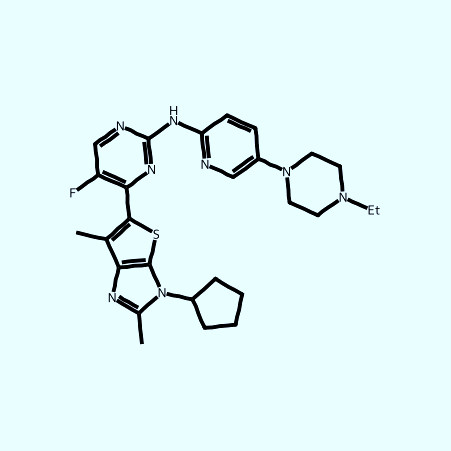 CCN1CCN(c2ccc(Nc3ncc(F)c(-c4sc5c(nc(C)n5C5CCCC5)c4C)n3)nc2)CC1